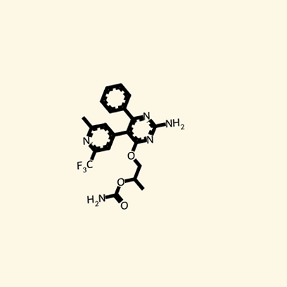 Cc1cc(-c2c(OCC(C)OC(N)=O)nc(N)nc2-c2ccccc2)cc(C(F)(F)F)n1